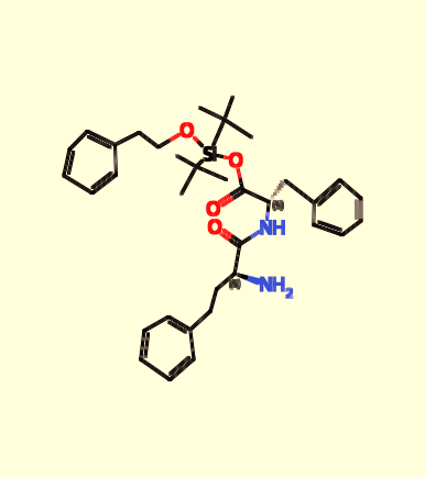 CC(C)(C)[Si](OCCc1ccccc1)(OC(=O)[C@H](Cc1ccccc1)NC(=O)[C@@H](N)CCc1ccccc1)C(C)(C)C